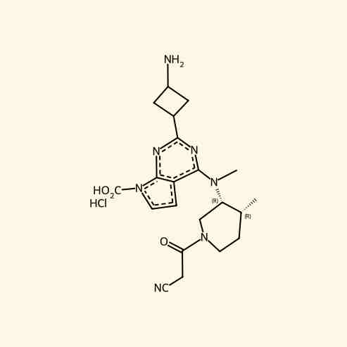 C[C@@H]1CCN(C(=O)CC#N)C[C@@H]1N(C)c1nc(C2CC(N)C2)nc2c1ccn2C(=O)O.Cl